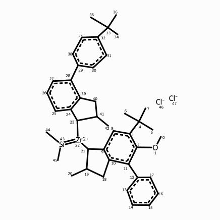 COc1c(C(C)(C)C)cc2c(c1-c1ccccc1)CC(C)[CH]2[Zr+2]([CH]1c2cccc(-c3ccc(C(C)(C)C)cc3)c2CC1C)=[Si](C)C.[Cl-].[Cl-]